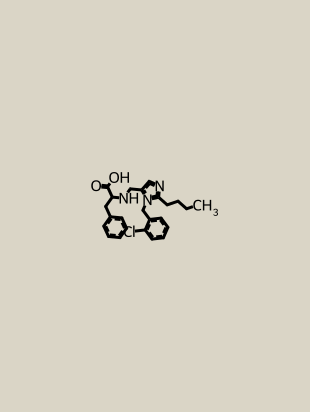 CCCCc1ncc(CNC(Cc2ccccc2)C(=O)O)n1Cc1ccccc1Cl